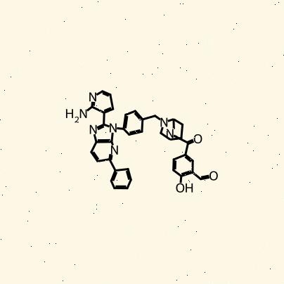 Nc1ncccc1-c1nc2ccc(-c3ccccc3)nc2n1-c1ccc(CN2CC3CCC2CN3C(=O)c2ccc(O)c(C=O)c2)cc1